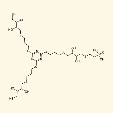 O=P(O)(O)CCSCC(O)C(O)CSCCCOc1nc(OCCCSCC(O)C(O)CS)nc(OCCCSCC(O)C(O)CS)n1